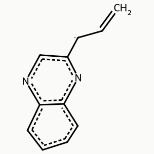 C=C[CH]c1cnc2ccccc2n1